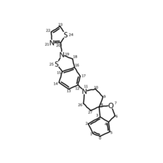 c1ccc2c(c1)COC21CCN(c2ccc3c(c2)CN(c2nccs2)S3)CC1